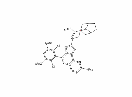 C=CC(=O)N1CC2CCC(C1)N2CCCc1nc2c(-c3c(Cl)c(OC)cc(OC)c3Cl)cc3cnc(NC)nc3n2n1